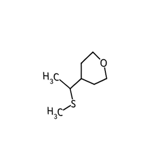 CSC(C)C1CCOCC1